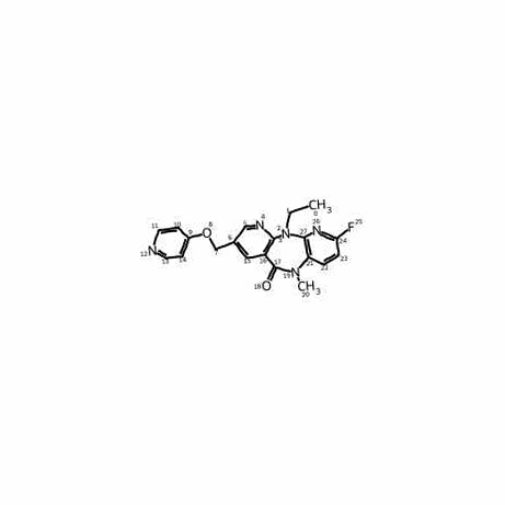 CCN1c2ncc(COc3ccncc3)cc2C(=O)N(C)c2ccc(F)nc21